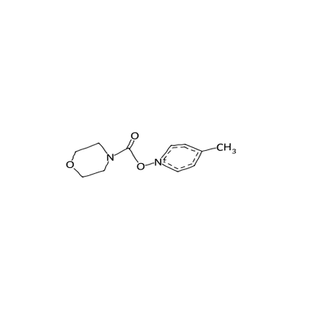 Cc1cc[n+](OC(=O)N2CCOCC2)cc1